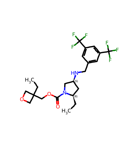 CC[C@@H]1C[C@H](NCc2cc(C(F)(F)F)cc(C(F)(F)F)c2)CN1C(=O)OCC1(CC)COC1